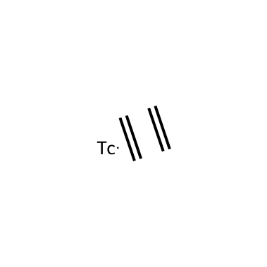 C=C.C=C.[Tc]